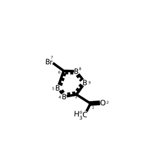 CC(=O)c1bbc(Br)bb1